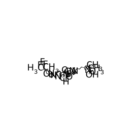 CC1(C)C[C@H](CCCn2ccc(S(=O)(=O)NC(=O)c3ccc(-n4ccc(OCCC(C)(C)C(F)(F)F)n4)nc3Cl)n2)CN1C(=O)O